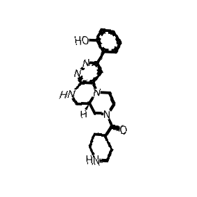 O=C(C1CCNCC1)N1CCN2c3cc(-c4ccccc4O)nnc3NC[C@H]2C1